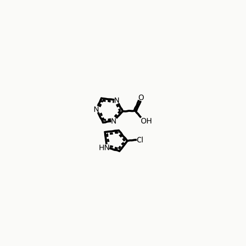 Clc1cc[nH]c1.O=C(O)c1ncncn1